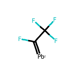 F[C](=[Pb])C(F)(F)F